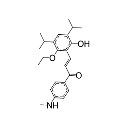 CCOc1c(C(C)C)cc(C(C)C)c(O)c1/C=C/C(=O)c1ccc(NC)cc1